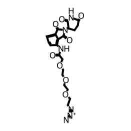 [N-]=[N+]=NCCOCCOCCOCC(=O)Nc1cccc2c1C(=O)N(C1CCC(=O)NC1=O)C2=O